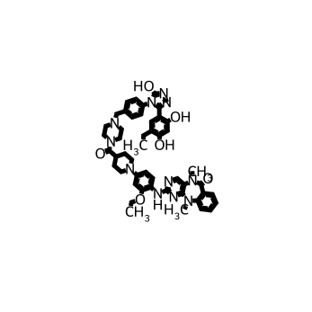 CCOc1cc(N2CCC(C(=O)N3CCN(Cc4ccc(-n5c(O)nnc5-c5cc(CC)c(O)cc5O)cc4)CC3)CC2)ccc1Nc1ncc2c(n1)N(C)c1ccccc1C(=O)N2C